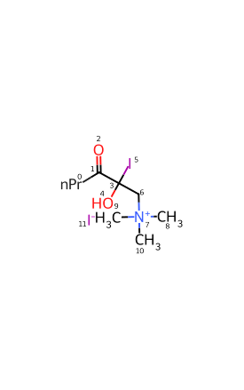 CCCC(=O)C(O)(I)C[N+](C)(C)C.[I-]